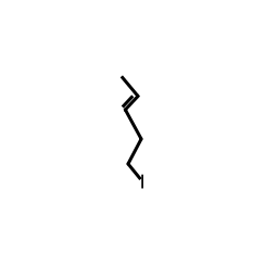 CC=CCCI